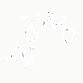 CC(NC(=O)C1(NC(=O)c2cncnc2)CC1)c1ccc(Nc2ccc(F)cc2C(F)(F)F)cn1